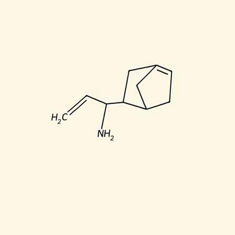 C=CC(N)C1CC2=CCC1C2